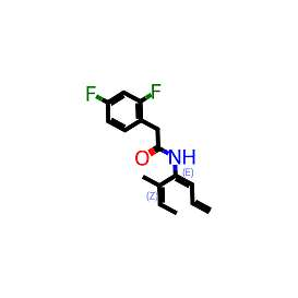 C=C/C=C(NC(=O)Cc1ccc(F)cc1F)\C(C)=C/C